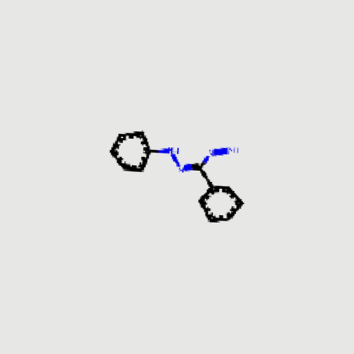 N=NC(=NNc1ccccc1)c1ccccc1